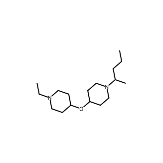 CCCC(C)N1CCC(OC2CCN(CC)CC2)CC1